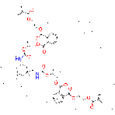 C=C(C)C(=O)OCCOC(=O)c1ccccc1C(=O)OCC(C)OC(=O)NCC1(C)CC(NC(=O)OC(C)COC(=O)c2ccccc2C(=O)OCCOC(=O)C(=C)C)CC(C)(C)C1